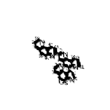 [Os].c1cnc2c(c1)ccc1ncccc12.c1cnc2c(c1)ccc1ncccc12.c1cnc2c(c1)ccc1ncccc12